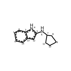 c1ccc2[nH]c(NC3CCCC3)cc2c1